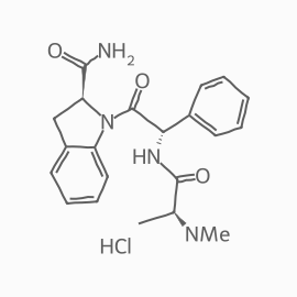 CN[C@@H](C)C(=O)N[C@H](C(=O)N1c2ccccc2C[C@H]1C(N)=O)c1ccccc1.Cl